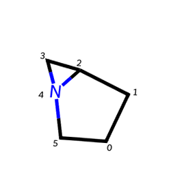 C1CC2CN2C1